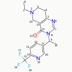 CCN1CCc2ncn(C(C)c3ccc(C(F)(F)F)nc3)c(=O)c2C1